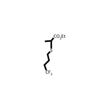 CCOC(=O)C(C)SCCCC(F)(F)F